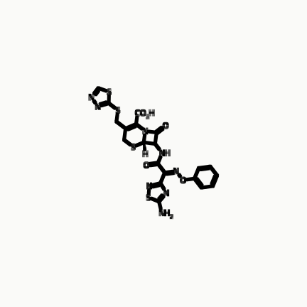 Nc1nc(C(=NOc2ccccc2)C(=O)NC2C(=O)N3C(C(=O)O)=C(CSc4nncs4)CS[C@@H]23)ns1